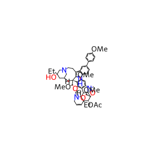 CC[C@]1(O)C[C@H]2CN(CCc3c([nH]c4ccc(-c5ccc(OC)cc5)cc34)[C@@](C(=O)OC)(c3cc4c(cc3OC)N(C)[C@@]35O[C@]3(C(=O)OC)[C@H](OC(C)=O)[C@]3(CC)C=CCN6CC[C@]45[C@@H]63)C2)C1